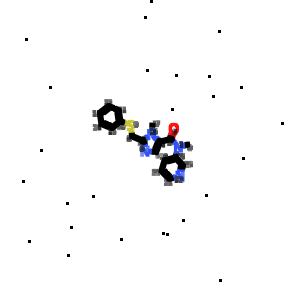 CN(C(=O)c1cnc(CSc2ccccc2)n1C)c1cccnc1